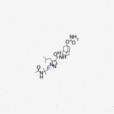 CC(=O)NC(C)(C)/C=C/n1ncc(C(=O)N[C@H]2C3CC4CC2C[C@](OC(N)=O)(C4)C3)c1CC(C)C